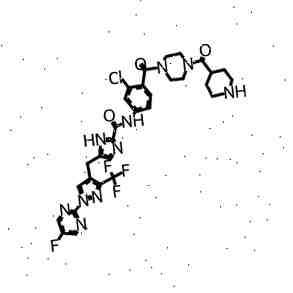 O=C(Nc1ccc(C(=O)N2CCN(C(=O)C3CCNCC3)CC2)c(Cl)c1)c1ncc(Cc2cn(-c3ncc(F)cn3)nc2C(F)(F)F)[nH]1